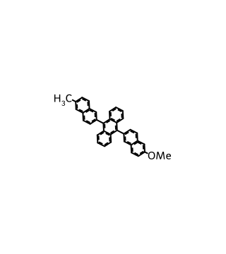 COc1ccc2cc(-c3c4ccccc4c(-c4ccc5cc(C)ccc5c4)c4ccccc34)ccc2c1